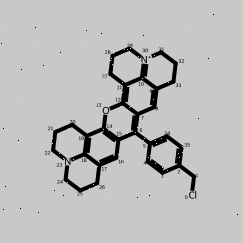 ClCc1ccc(C2=c3cc4c5c(c3Oc3c2cc2c6c3CCCN6CCC2)CCC[N+]=5CCC4)cc1